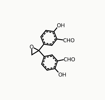 O=Cc1cc(C2(c3ccc(O)c(C=O)c3)CO2)ccc1O